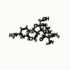 C=C1N=C(N)C=CN1[C@@H]1O[C@@](CO)(N=[N+]=[N-])[C@@H](OC(=O)C(N)C(C)C)[C@H]1F